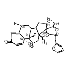 C[C@@H]1CC2C3C[C@H](F)C4=CC(=O)C=C[C@]4(C)[C@@]3(F)C(O)CC2(C)[C@@]1(OC(=O)c1ccco1)C(=O)S